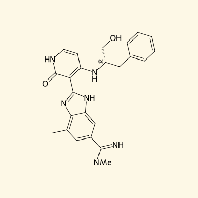 CNC(=N)c1cc(C)c2nc(-c3c(N[C@H](CO)Cc4ccccc4)cc[nH]c3=O)[nH]c2c1